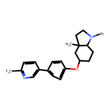 CC(C)N1CCC2(C)CC(Oc3ccc(-c4ccc(C(F)(F)F)nc4)cc3)CCC12